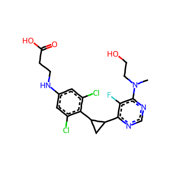 CN(CCO)c1ncnc(C2CC2c2c(Cl)cc(NCCC(=O)O)cc2Cl)c1F